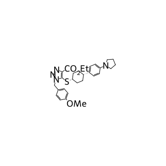 CCOC(=O)c1nnn(Cc2ccc(OC)cc2)c1S[C@H]1CC[C@@H](c2ccc(N3CCCC3)cc2)CC1